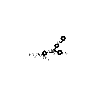 CCCc1ccc(-c2sc(COc3ccc(OCC(=O)O)c(C)c3)nc2-c2ccc(OCc3ccccc3)cc2)cc1